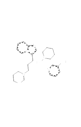 Cc1cccnc1[C@H]1CCC[C@@H](c2nc3ccccn3c2CCCN2CCCOC2)N1C